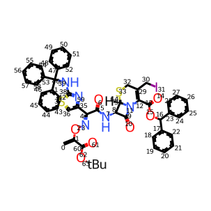 C=C(ON=C(C(=O)N[C@@H]1C(=O)N2C(C(=O)OC(c3ccccc3)c3ccccc3)=C(CI)CS[C@@H]12)c1csc(NC(c2ccccc2)(c2ccccc2)c2ccccc2)n1)C(=O)OC(C)(C)C